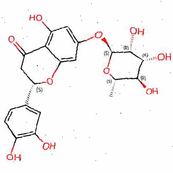 C[C@@H]1O[C@@H](Oc2cc(O)c3c(c2)O[C@H](c2ccc(O)c(O)c2)CC3=O)[C@H](O)[C@H](O)[C@H]1O